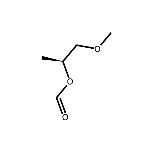 COC[C@H](C)OC=O